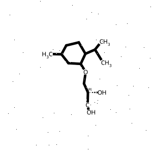 CC1CCC(C(C)C)C(OC[C@H](O)CO)C1